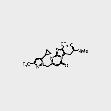 CNC(=O)Cc1c(C(F)(F)F)sc2nc(Cn3nc(C(F)(F)F)cc3C3CC3)cc(=O)n12